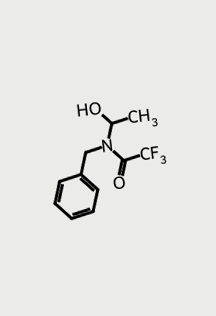 CC(O)N(Cc1ccccc1)C(=O)C(F)(F)F